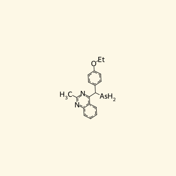 CCOc1ccc(C([AsH2])c2nc(C)nc3ccccc23)cc1